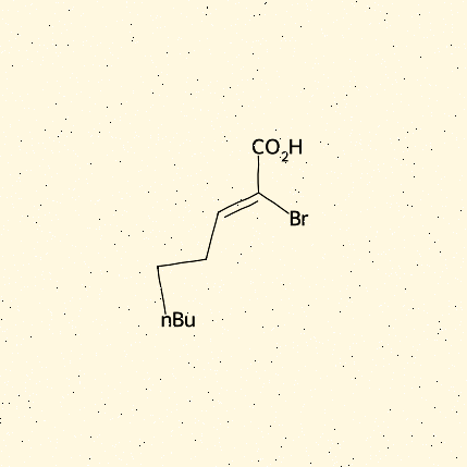 CCCCCCC=C(Br)C(=O)O